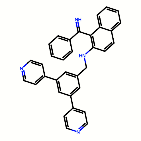 N=C(c1ccccc1)c1c(NCc2cc(-c3ccncc3)cc(-c3ccncc3)c2)ccc2ccccc12